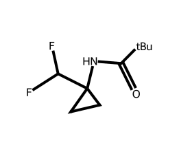 CC(C)(C)C(=O)NC1(C(F)F)CC1